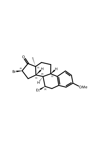 CC[C@@H]1Cc2cc(OC)ccc2[C@H]2CC[C@]3(C)C(=O)[C@H](Br)C[C@H]3[C@H]12